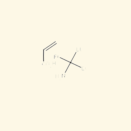 C=CC(=O)O.CCC(N)(CC)CC